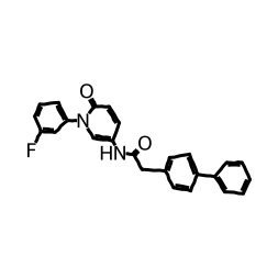 O=C(Cc1ccc(-c2ccccc2)cc1)Nc1ccc(=O)n(-c2cccc(F)c2)c1